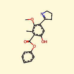 COc1c(C2=NCCC2)cc(O)c(C(=O)Oc2ccccc2)c1C